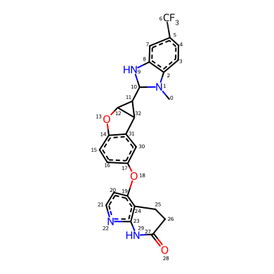 CN1c2ccc(C(F)(F)F)cc2NC1C1C2Oc3ccc(Oc4ccnc5c4CCC(=O)N5)cc3C21